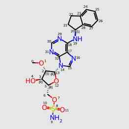 CO[C@H]1[C@H](O)[C@@H](COS(N)(=O)=O)O[C@H]1n1cnc2c(N[C@H]3CCc4ccccc43)ncnc21